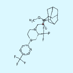 COC(=O)C12CC3CC(C1)C(NC(=O)CN1CCN(c4ccc(C(F)(F)F)cn4)CC1C(F)(F)F)C(C3)C2